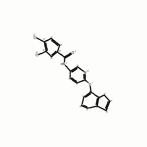 O=C(Nc1ccc(Oc2cccc3c2CC=C3)nc1)c1ccc(Cl)c(Cl)c1